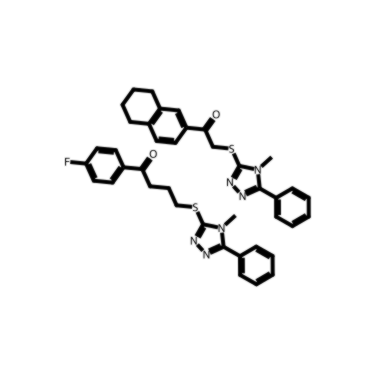 Cn1c(SCC(=O)c2ccc3c(c2)CCCC3)nnc1-c1ccccc1.Cn1c(SCCCC(=O)c2ccc(F)cc2)nnc1-c1ccccc1